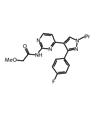 COCC(=O)Nc1nccc(-c2cn(C(C)C)nc2-c2ccc(F)cc2)n1